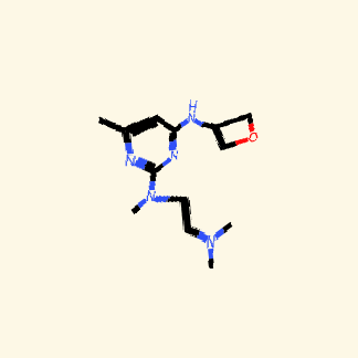 Cc1cc(NC2COC2)nc(N(C)CCN(C)C)n1